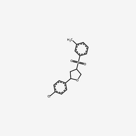 Cc1cccc(S(=O)(=O)C2COC(c3ccc(Cl)cc3)C2)c1